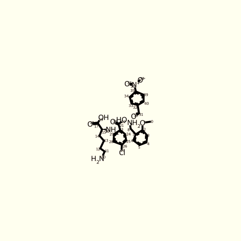 COc1ccccc1CN.NCCCC[C@H](N)C(=O)O.O=C(O)c1ccc(Cl)cc1.O=Cc1ccc([N+](=O)[O-])cc1